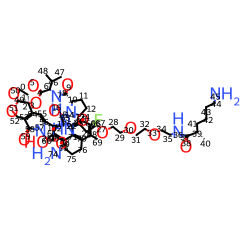 CC[C@@]1(OC(=O)[C@@H](NC(=O)[C@@H]2CCCN2C(=O)[C@H](CC(=O)O)NC(=O)CCOCCOCCOCCNC(=O)[C@@H](C)CCCCN)C(C)C)C(=O)OCc2c1cc1n(c2=O)Cc2c-1nc1cc(F)c(C)c3c1c2[C@@H](N)CC3